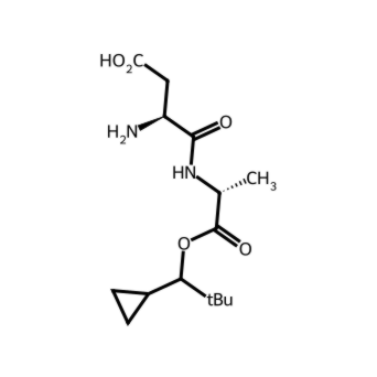 C[C@@H](NC(=O)[C@@H](N)CC(=O)O)C(=O)OC(C1CC1)C(C)(C)C